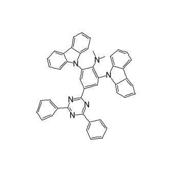 CN(C)c1c(-n2c3ccccc3c3ccccc32)cc(-c2nc(-c3ccccc3)nc(-c3ccccc3)n2)cc1-n1c2ccccc2c2ccccc21